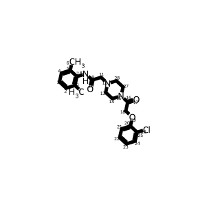 Cc1cccc(C)c1NC(=O)CN1CCN(C(=O)COc2ccccc2Cl)CC1